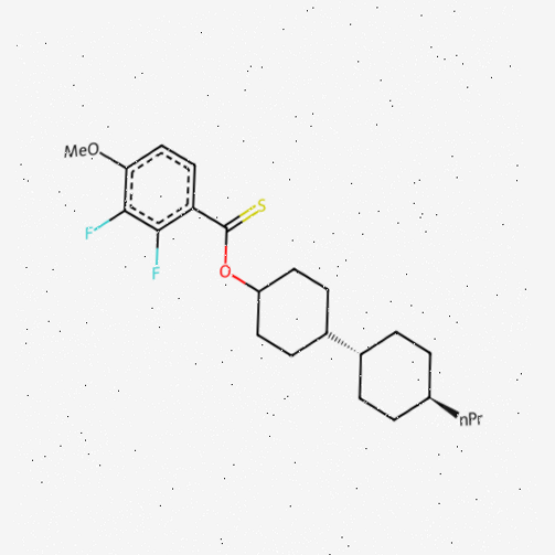 CCC[C@H]1CC[C@H](C2CCC(OC(=S)c3ccc(OC)c(F)c3F)CC2)CC1